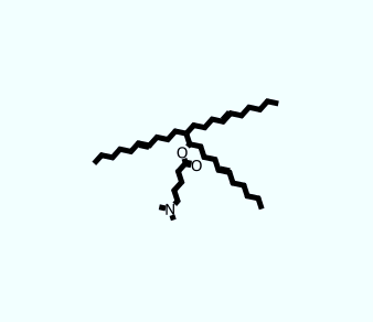 CCCCCC=CCCCC(CCCC=CCCCCC)C(CCCC=CCCCCC)OC(=O)CCCCN(C)C